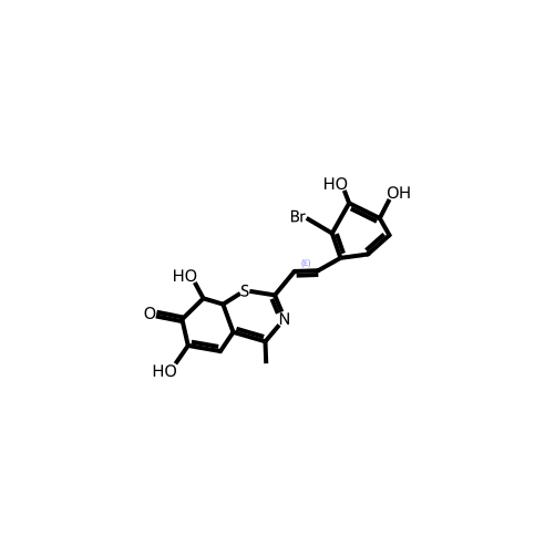 CC1=C2C=C(O)C(=O)C(O)C2SC(/C=C/c2ccc(O)c(O)c2Br)=N1